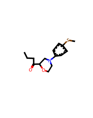 CCCC(=O)C1CN(c2ccc(SC)cc2)CCO1